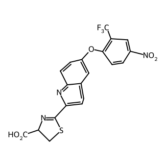 O=C(O)C1CSC(c2ccc3cc(Oc4ccc([N+](=O)[O-])cc4C(F)(F)F)ccc3n2)=N1